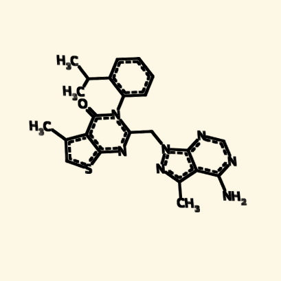 Cc1nn(Cc2nc3scc(C)c3c(=O)n2-c2ccccc2C(C)C)c2ncnc(N)c12